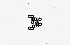 c1ccc2c(c1)ccc1cc(-c3nc(-n4c5ccccc5c5cc6c7ccc8ccccc8c7n7c8ccccc8c(c54)c67)c4ccccc4n3)ccc12